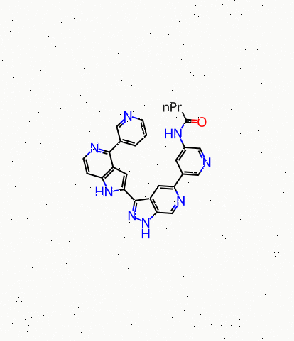 CCCC(=O)Nc1cncc(-c2cc3c(-c4cc5c(-c6cccnc6)nccc5[nH]4)n[nH]c3cn2)c1